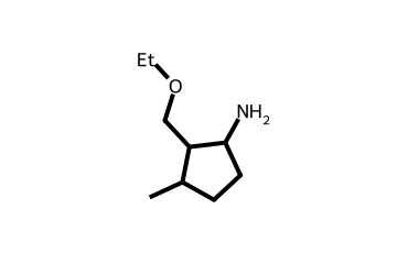 CCOCC1C(C)CCC1N